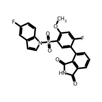 COc1cc(F)c(-c2cccc3c2C(=O)NC3=O)cc1S(=O)(=O)n1ccc2cc(F)ccc21